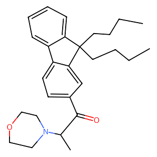 CCCCC1(CCCC)c2ccccc2-c2ccc(C(=O)C(C)N3CCOCC3)cc21